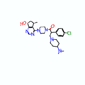 C[C@@H]1C[C@@H](O)c2ncnc(N3CCN(C(=O)C(CN4CCC(N(C)C)CC4)c4ccc(Cl)cc4)CC3)c21